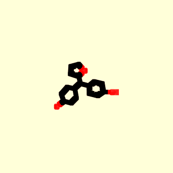 O=C1C=CC(=C(c2ccc(O)cc2)c2ccco2)C=C1